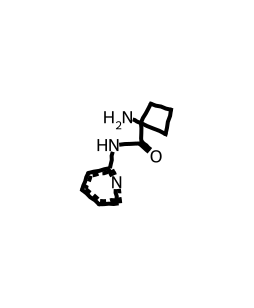 NC1(C(=O)Nc2ccccn2)CCC1